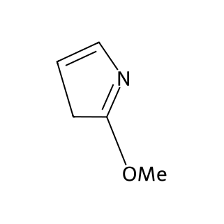 COC1=NC=CC1